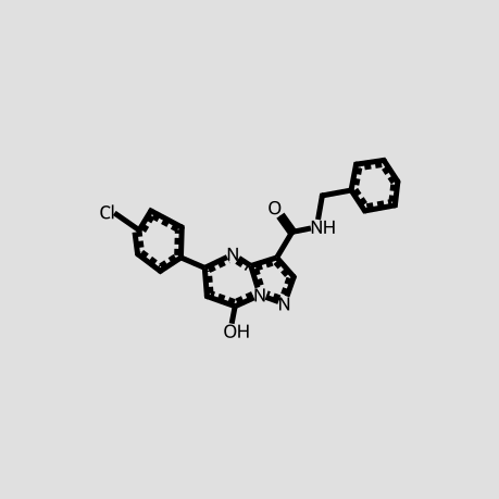 O=C(NCc1ccccc1)c1cnn2c(O)cc(-c3ccc(Cl)cc3)nc12